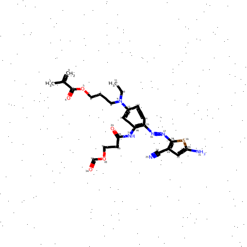 C=C(C)C(=O)OCCCN(CC)c1ccc(/N=N/c2sc(N)cc2C#N)c(NC(=O)CCOC=O)c1